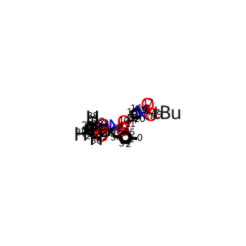 Cc1ccc(C[C@H](NC(=O)OC[C@H]2CCN(C(=O)OC(C)(C)C)C2)B2O[C@@H]3C[C@@H]4C[C@@H](C4(C)C)[C@]3(C)O2)cc1